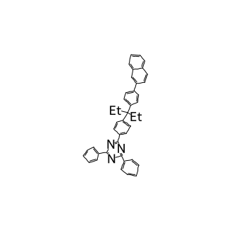 CCC(CC)(c1ccc(-c2ccc3ccccc3c2)cc1)c1ccc(-c2nc(-c3ccccc3)nc(-c3ccccc3)n2)cc1